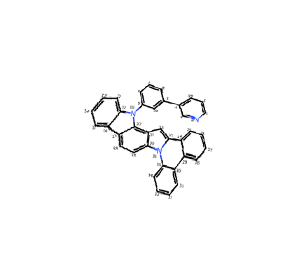 c1cncc(-c2cccc(-n3c4ccccc4c4ccc5c(cc6c7ccccc7c7ccccc7n65)c43)c2)c1